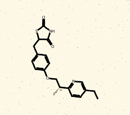 CCc1ccc([C@H](F)COc2ccc(CC3SC(=O)NC3=O)cc2)nc1